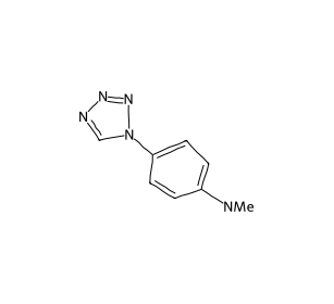 CNc1ccc(-n2cnnn2)cc1